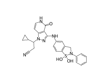 N#CCC(C1CC1)n1nc(Nc2ccc3c(c2)CN(c2ccccc2)S3(O)O)c2c(=O)[nH]ccc21